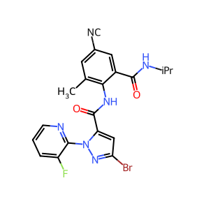 [C-]#[N+]c1cc(C)c(NC(=O)c2cc(Br)nn2-c2ncccc2F)c(C(=O)NC(C)C)c1